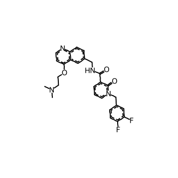 CN(C)CCOc1ccnc2ccc(CNC(=O)c3cccn(Cc4ccc(F)c(F)c4)c3=O)cc12